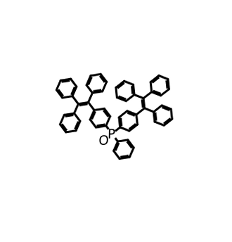 O=P(c1ccccc1)(c1ccc(C(=C(c2ccccc2)c2ccccc2)c2ccccc2)cc1)c1ccc(C(=C(c2ccccc2)c2ccccc2)c2ccccc2)cc1